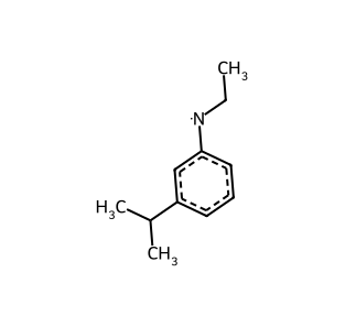 CC[N]c1cccc(C(C)C)c1